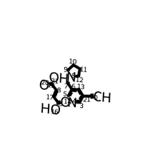 C#Cc1cncc(CN2CCCC2)c1.O=C(O)/C=C/C(=O)O